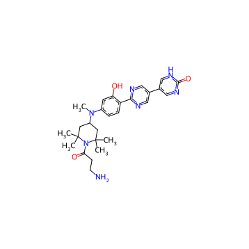 CN(c1ccc(-c2ncc(-c3cnc(=O)[nH]c3)cn2)c(O)c1)C1CC(C)(C)N(C(=O)CCN)C(C)(C)C1